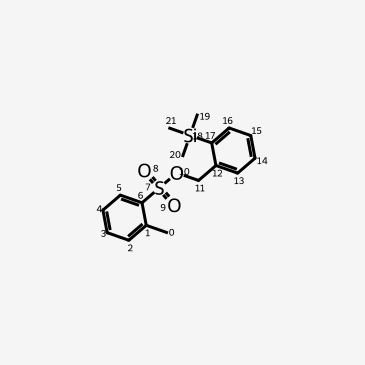 Cc1ccccc1S(=O)(=O)OCc1ccccc1[Si](C)(C)C